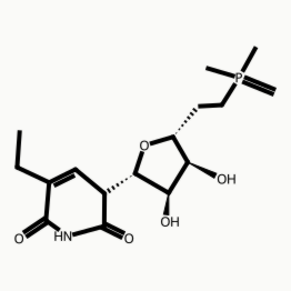 C=P(C)(C)CC[C@H]1O[C@@H](C2C=C(CC)C(=O)NC2=O)[C@H](O)[C@@H]1O